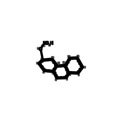 O=S(=O)(O)Oc1ccc2ccc3ccccc3c2c1